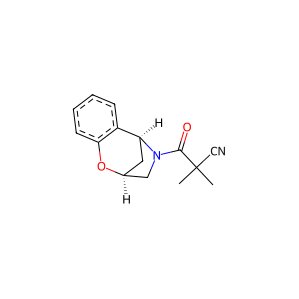 CC(C)(C#N)C(=O)N1C[C@@H]2C[C@H]1c1ccccc1O2